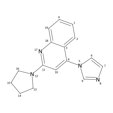 c1ccc2c(-n3ccnc3)cc(N3CCCC3)nc2c1